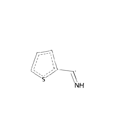 N=[C]c1cccs1